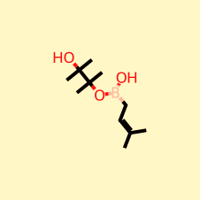 CC(C)=CCB(O)OC(C)(C)C(C)(C)O